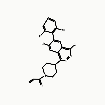 C=CC(=O)N1CCC(c2nnc(Cl)c3cc(-c4c(O)cccc4F)c(Cl)cc23)CC1